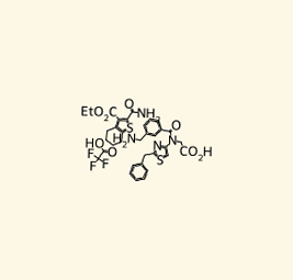 CCOC(=O)c1c(C(N)=O)sc2c1CCCC2.NCc1cccc(C(=O)N(CC(=O)O)c2csc(Cc3ccccc3)n2)c1.O=C(O)C(F)(F)F